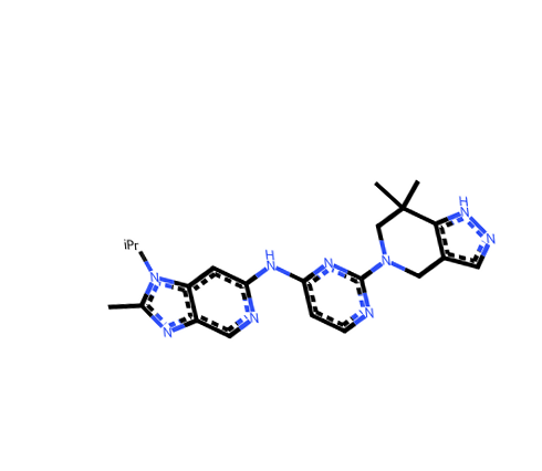 Cc1nc2cnc(Nc3ccnc(N4Cc5cn[nH]c5C(C)(C)C4)n3)cc2n1C(C)C